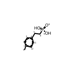 Cc1ccc(CCP(=O)(O)O)cc1